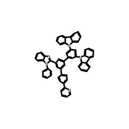 c1ccc(-n2c(-c3cc(-c4ccc(-c5ccccn5)cc4)cc(-c4cc(-n5c6ccccc6c6ccccc65)cc(-n5c6ccccc6c6ccccc65)c4)c3)nc3ccccc32)cc1